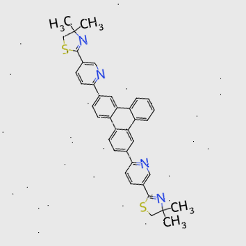 CC1(C)CSC(c2ccc(-c3ccc4c5ccc(-c6ccc(C7=NC(C)(C)CS7)cn6)cc5c5ccccc5c4c3)nc2)=N1